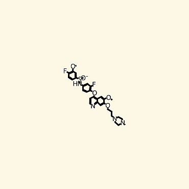 COc1cc([S+]([O-])Nc2ccc(Oc3ccnc4cc(OCCCN5CCN(C)CC5)c(OC)cc34)c(F)c2)ccc1F